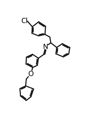 Clc1ccc(CC(N=Cc2cccc(OCc3ccccc3)c2)c2ccccc2)cc1